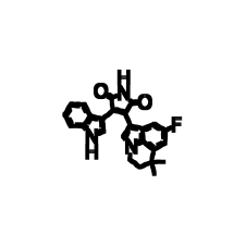 CC1(C)CCn2cc(C3=C(c4c[nH]c5ccccc45)C(=O)NC3=O)c3cc(F)cc1c32